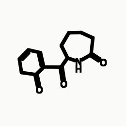 O=C1CCCCC(C(=O)C2=CC=CCC2=O)N1